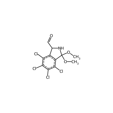 COC1(OC)NC(C=O)c2c(Cl)c(Cl)c(Cl)c(Cl)c21